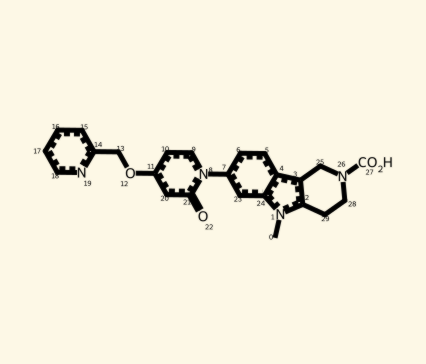 Cn1c2c(c3ccc(-n4ccc(OCc5ccccn5)cc4=O)cc31)CN(C(=O)O)CC2